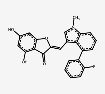 Cn1cc(C=C2Oc3cc(O)cc(O)c3C2=O)c2c(-c3ccccc3F)cccc21